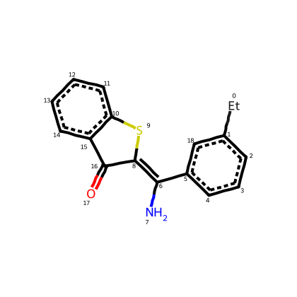 CCc1cccc(/C(N)=C2\Sc3ccccc3C2=O)c1